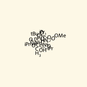 CCC[C@H](NC(=O)[C@H](C)C[C@H](O)[C@H](CC(C)C)NC(=O)[C@H](CCOCOC)NC(=O)[C@H](CC(C)C)NC(=O)OC(C)(C)C)C(=O)NC(C)C